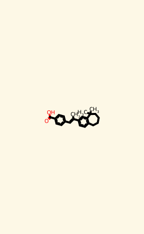 CC(=Cc1ccc(C(=O)O)cc1)c1ccc2c(c1)C(C)(C)CCCC2